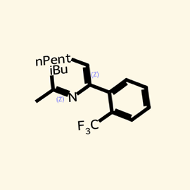 CCCCC/C=C(\N=C(\C)C(C)CC)c1ccccc1C(F)(F)F